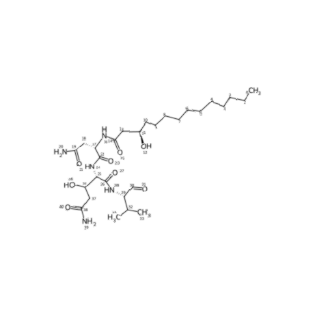 CCCCCCCCCCC[C@@H](O)CC(=O)N[C@@H](CC(N)=O)C(=O)N[C@H](C(=O)N[C@H](C=O)C(C)C)C(O)CC(N)=O